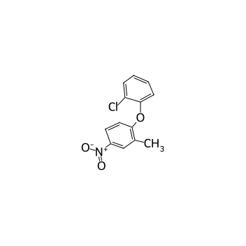 Cc1cc([N+](=O)[O-])ccc1Oc1ccccc1Cl